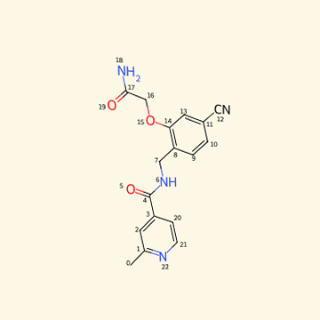 Cc1cc(C(=O)NCc2ccc(C#N)cc2OCC(N)=O)ccn1